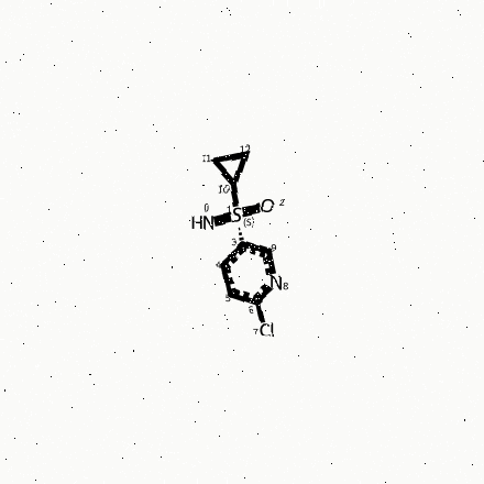 N=[S@@](=O)(c1ccc(Cl)nc1)C1CC1